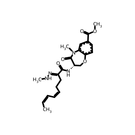 C/C=C\C=C/CC/C(=N\NC)C(=O)N[C@H]1COc2ccc(C(=O)OC)cc2N(C)C1=O